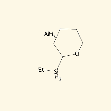 CC[SiH2]C1CCCCO1.[AlH3]